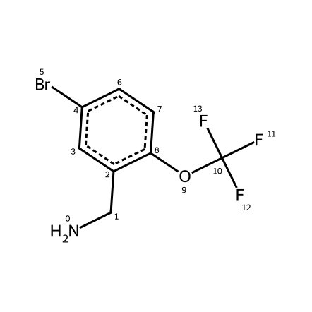 NCc1cc(Br)ccc1OC(F)(F)F